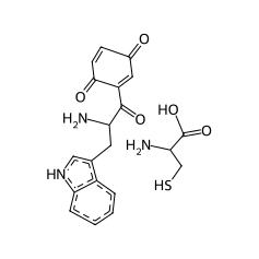 NC(CS)C(=O)O.NC(Cc1c[nH]c2ccccc12)C(=O)C1=CC(=O)C=CC1=O